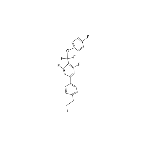 CCCc1ccc(-c2cc(F)c(C(F)(F)Oc3ccc(F)cc3)c(F)c2)cc1